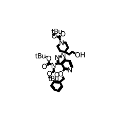 CC(C)(C)OC(=O)N1CCC(CCO)(n2nc(N(C(=O)OC(C)(C)C)C(=O)OC(C)(C)C)c3c(OCc4ccccc4)nccc32)CC1